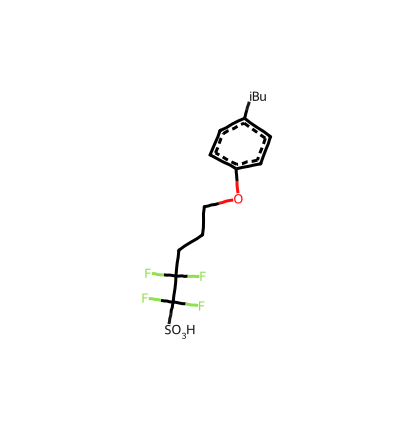 CCC(C)c1ccc(OCCCC(F)(F)C(F)(F)S(=O)(=O)O)cc1